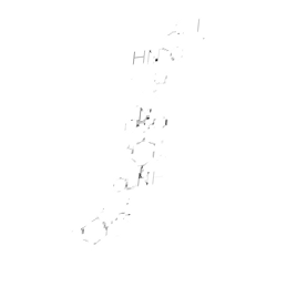 C=CC(=O)NC1CC2CN(S(=O)(=O)c3ccc(NC(=O)C4CC4c4ccccc4)cc3)CC2O1